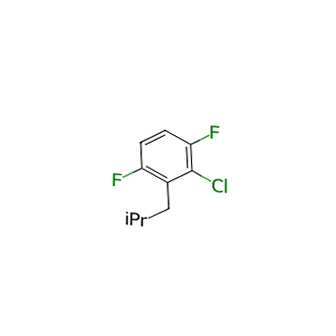 CC(C)Cc1c(F)ccc(F)c1Cl